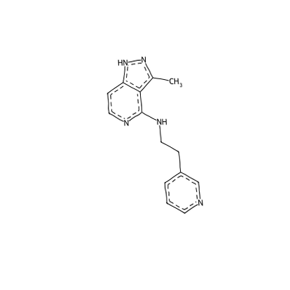 Cc1n[nH]c2ccnc(NCCc3cccnc3)c12